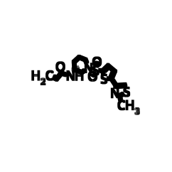 C=CC(=O)N[C@H]1CCCN(S(=O)(=O)c2ccc(-c3csc(C)n3)s2)C1